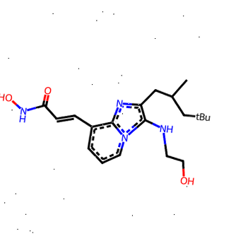 CC(Cc1nc2c(/C=C/C(=O)NO)cccn2c1NCCO)CC(C)(C)C